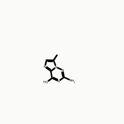 Cc1cnc2c(O)nc(N)nn12